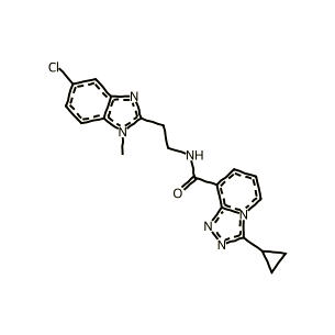 Cn1c(CCNC(=O)c2cccn3c(C4CC4)nnc23)nc2cc(Cl)ccc21